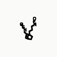 O=C=NCCCC12CCC(CC1CN=C=O)C2